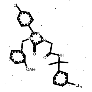 COc1cccc(Cn2c(-c3ccc(Cl)cc3)nn(CC(=O)NC(C)(C)c3cccc(C(F)(F)F)c3)c2=O)c1